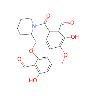 COc1ccc(C(=O)N2CCCCC2COc2cccc(O)c2C=O)c(C=O)c1O